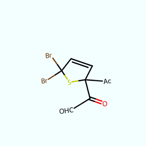 CC(=O)C1(C(=O)C=O)C=CC(Br)(Br)S1